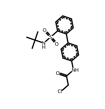 CC(C)(C)NS(=O)(=O)c1ccccc1-c1ccc(NC(=O)CCl)cc1